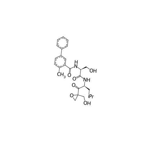 Cc1ccc(-c2ccccc2)cc1C(=O)N[C@@H](CO)C(=O)N[C@@H](CC(C)C)C(=O)C1(CO)CO1